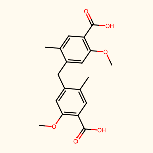 COc1cc(Cc2cc(OC)c(C(=O)O)cc2C)c(C)cc1C(=O)O